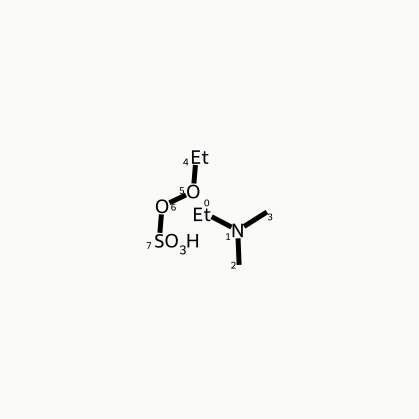 CCN(C)C.CCOOS(=O)(=O)O